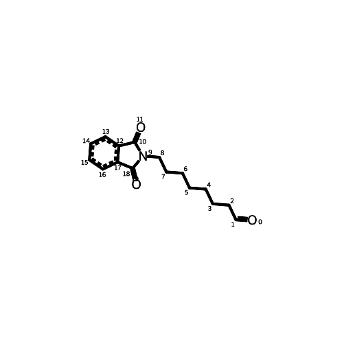 O=CCCCCCCCN1C(=O)c2ccccc2C1=O